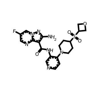 Nc1nn2cc(F)cnc2c1C(=O)Nc1cnccc1N1CCC(S(=O)(=O)C2COC2)CC1